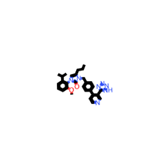 CCCc1cn(-c2c(OC)cccc2C(C)C)c(=O)n1Cc1ccc(-c2ccncc2-c2nnn[nH]2)cc1